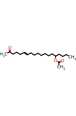 CCCCC(CCCCCCC/C=C/CCCC(C)=O)OC(C)=O